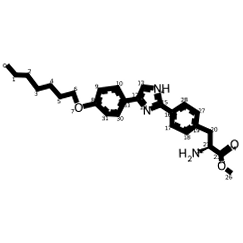 CCCCCCCOc1ccc(-c2c[nH]c(-c3ccc(C[C@H](N)C(=O)OC)cc3)n2)cc1